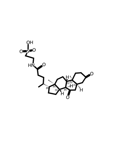 CC(CCC(=O)NCCS(=O)(=O)O)[C@H]1CC[C@H]2[C@@H]3C(=O)C[C@@H]4CC(=O)CC[C@]4(C)[C@H]3CC[C@]12C